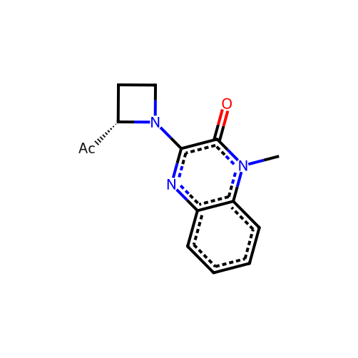 CC(=O)[C@@H]1CCN1c1nc2ccccc2n(C)c1=O